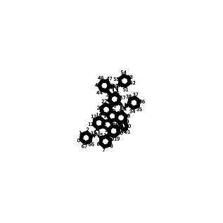 c1ccc(N(c2ccccc2)c2cccc3c2-c2ccccc2C32c3ccccc3-c3c(N(c4ccccc4)c4ccc5c6ccccc6n(-c6ccccc6)c5c4)cc4ccccc4c32)cc1